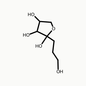 OCCCC1(O)OCC(O)C1O